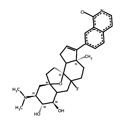 CN(C)[C@H]1C[C@@]23CC[C@]4(O2)C2CC=C(c5ccc6ccnc(Cl)c6c5)[C@@]2(C)CCC4(F)CC3[C@@H](O)[C@@H]1O